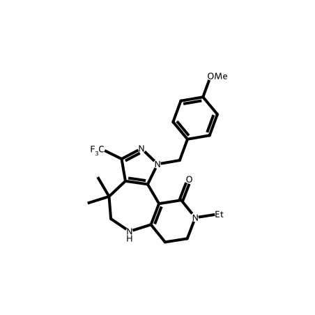 CCN1CCC2=C(C1=O)c1c(c(C(F)(F)F)nn1Cc1ccc(OC)cc1)C(C)(C)CN2